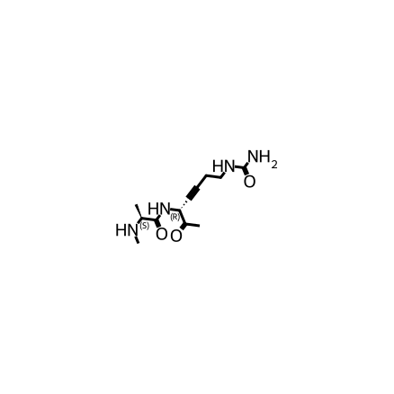 CN[C@@H](C)C(=O)N[C@H](C#CCCNC(N)=O)C(C)=O